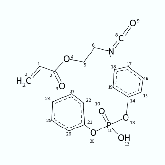 C=CC(=O)OCCN=C=O.O=P(O)(Oc1ccccc1)Oc1ccccc1